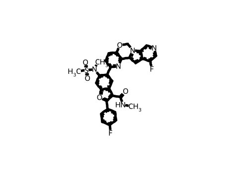 CNC(=O)c1c(-c2ccc(F)cc2)oc2cc(N(C)S(C)(=O)=O)c(-c3ccc4c(n3)-c3cc5c(F)cncc5n3CO4)cc12